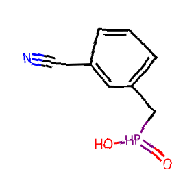 N#Cc1cccc(C[PH](=O)O)c1